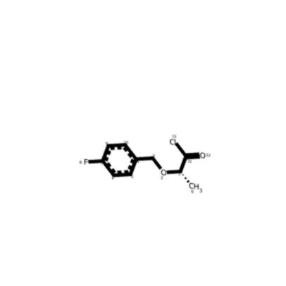 C[C@H](OCc1ccc(F)cc1)C(=O)Cl